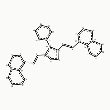 C(=Cc1ccc(C=Cc2cccc3ccccc23)n1-c1ccccn1)c1cccc2ccccc12